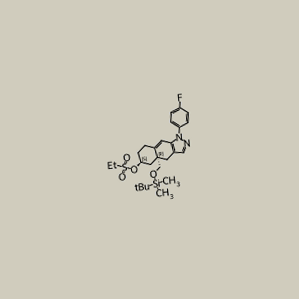 CCS(=O)(=O)O[C@H]1CCC2=Cc3c(cnn3-c3ccc(F)cc3)C[C@@]2(CO[Si](C)(C)C(C)(C)C)C1